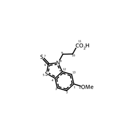 COc1ccc2sc(=S)n(CCC(=O)O)c2c1